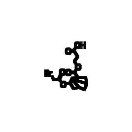 O=C(O)CCOC(=O)C12CC3CC(CC(OC(=O)CBr)(C3)C1)C2